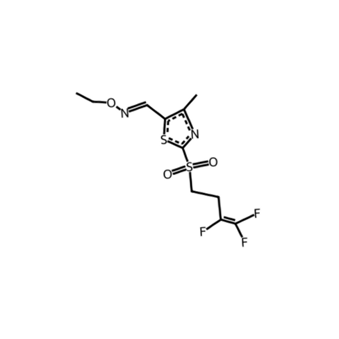 CCON=Cc1sc(S(=O)(=O)CCC(F)=C(F)F)nc1C